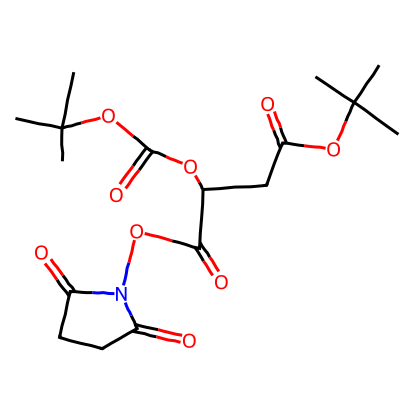 CC(C)(C)OC(=O)CC(OC(=O)OC(C)(C)C)C(=O)ON1C(=O)CCC1=O